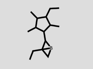 CCC1C(C)C(C)C(C2B3CC32CC)C1C